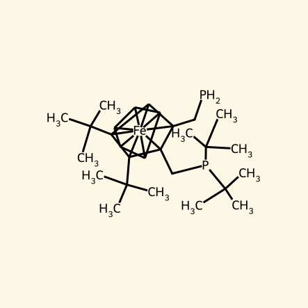 CC(C)(C)P(C[C]12[C]3(CP)[CH]4[C]5(C(C)(C)C)[C]1(C(C)(C)C)[Fe]43251678[CH]2[CH]1[CH]6[CH]7[CH]28)C(C)(C)C